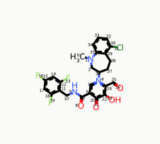 CN1CC(n2cc(C(=O)NCc3c(F)cc(F)cc3F)c(=O)c(O)c2C=O)CCc2c(Cl)cccc21